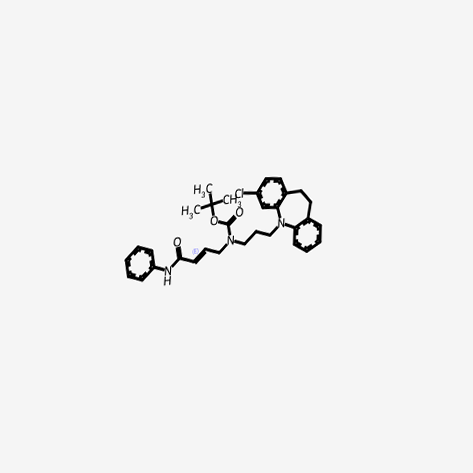 CC(C)(C)OC(=O)N(C/C=C/C(=O)Nc1ccccc1)CCCN1c2ccccc2CCc2ccc(Cl)cc21